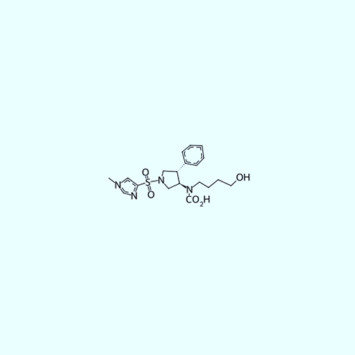 Cn1cnc(S(=O)(=O)N2C[C@H](c3ccccc3)[C@@H](N(CCCCO)C(=O)O)C2)c1